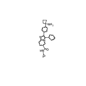 NC1(c2ccc(-c3nc4ccc(C(=O)NC5CC5)cn4c3-c3ccccc3)cc2)CCC1